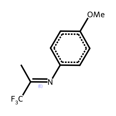 COc1ccc(/N=C(\C)C(F)(F)F)cc1